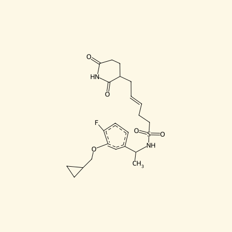 CC(NS(=O)(=O)CC/C=C/CC1CCC(=O)NC1=O)c1ccc(F)c(OCC2CC2)c1